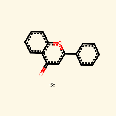 O=c1cc(-c2ccccc2)oc2ccccc12.[Se]